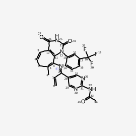 C=C/C(=N\C1=C(C)CC=Cc2c1n(-c1cccc(C(F)(F)F)c1)c(=O)[nH]c2=O)c1cnc(NC(C)=O)nc1